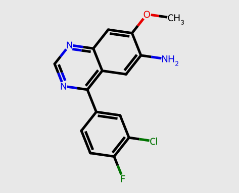 COc1cc2ncnc(-c3ccc(F)c(Cl)c3)c2cc1N